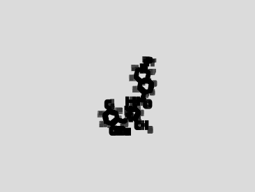 Cc1cc(NC(=O)c2ccc3c(c2)CCN(C(C)C)C3)nn1Cc1cc(Cl)ccc1OCC(C)C